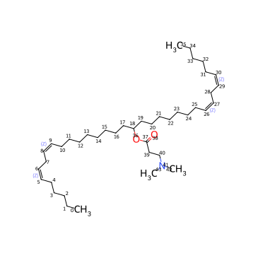 CCCCC/C=C\C/C=C\CCCCCCCCC(CCCCCCC/C=C\C/C=C\CCCCC)OC(=O)CCN(C)C